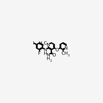 Cc1ncccc1OC1=CCN(C)C(Nc2ccc(I)cc2F)=C1C(N)=O